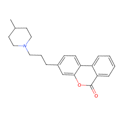 CC1CCN(CCCc2ccc3c(c2)oc(=O)c2ccccc23)CC1